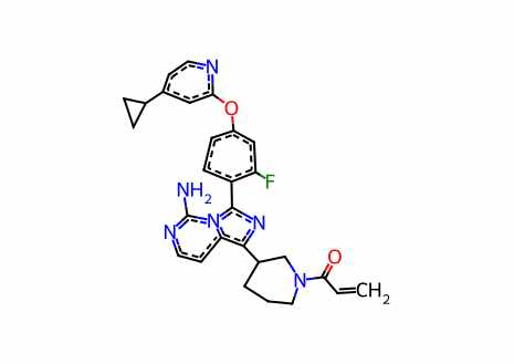 C=CC(=O)N1CCCC(c2nc(-c3ccc(Oc4cc(C5CC5)ccn4)cc3F)n3c(N)nccc23)C1